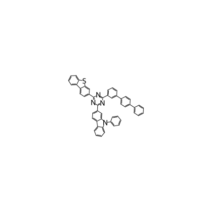 c1ccc(-c2ccc(-c3cccc(-c4nc(-c5ccc6c(c5)sc5ccccc56)nc(-c5ccc6c7ccccc7n(-c7ccccc7)c6c5)n4)c3)cc2)cc1